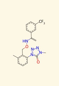 C=C(NOCc1c(C)cccc1-n1nnn(C)c1=O)c1cccc(C(F)(F)F)c1